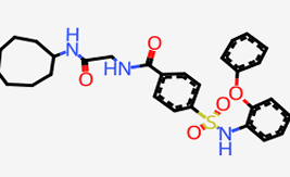 O=C(CNC(=O)c1ccc(S(=O)(=O)Nc2ccccc2Oc2ccccc2)cc1)NC1CCCCCCC1